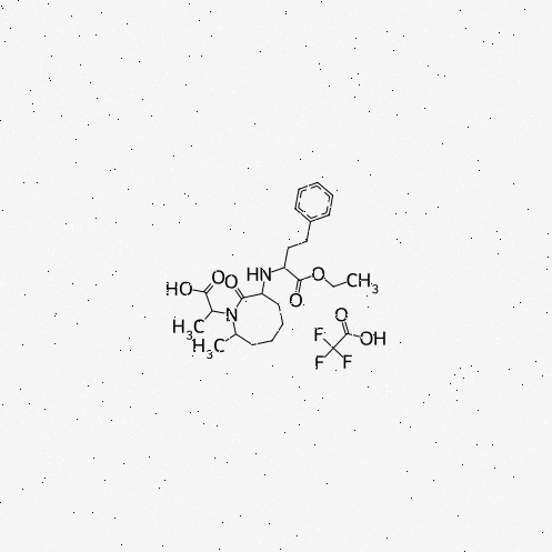 CCOC(=O)C(CCc1ccccc1)NC1CCCCC(C)N(C(C)C(=O)O)C1=O.O=C(O)C(F)(F)F